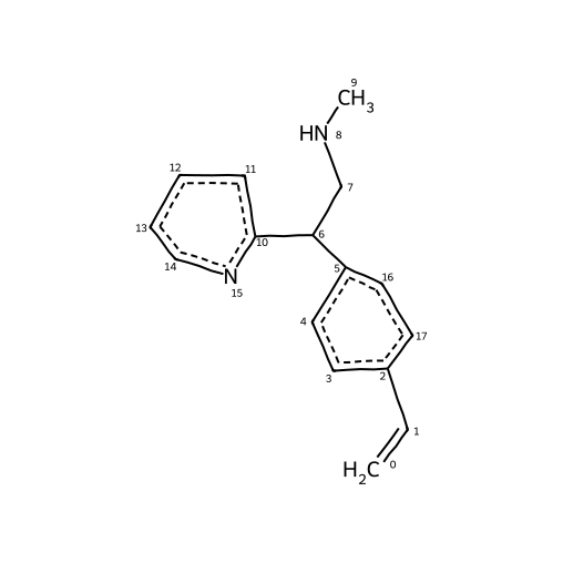 C=Cc1ccc(C(CNC)c2ccccn2)cc1